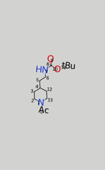 CC(=O)N1CCC(CCNC(=O)OC(C)(C)C)CC1